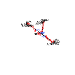 CC(=O)N[C@H]1[C@H](OCCOCCOCCOCC(=O)NCCCC[C@H](NC(=O)COCCOCCOCCO[C@@H]2O[C@H](COC(C)=O)[C@H](OC(C)=O)[C@H](OC(C)=O)[C@H]2NC(C)=O)C(=O)N[C@@H](CCCCNC(=O)COCCOCCOCCO[C@@H]2O[C@H](COC(C)=O)[C@H](OC(C)=O)[C@H](OC(C)=O)[C@H]2NC(C)=O)C(=O)OCc2ccccc2)O[C@H](COC(C)=O)[C@H](OC(C)=O)[C@@H]1OC(C)=O